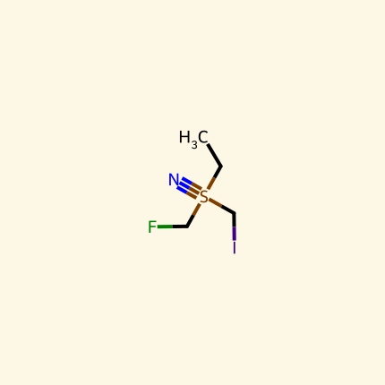 CCS(#N)(CF)CI